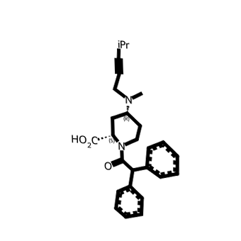 CC(C)C#CCN(C)[C@@H]1CCN(C(=O)C(c2ccccc2)c2ccccc2)[C@H](C(=O)O)C1